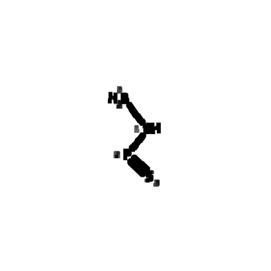 BBP=S